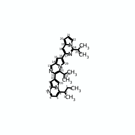 CCC(C)c1ccnc2cc(-c3ncc4cc(-c5cc6cccn6c(C(C)C)n5)cn4c3C(C)C)cn12